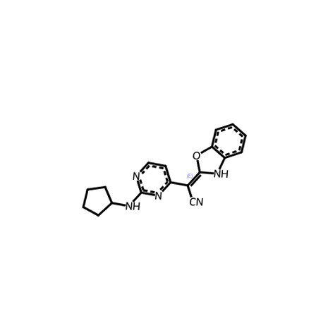 N#C/C(=C1\Nc2ccccc2O1)c1ccnc(NC2CCCC2)n1